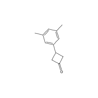 Cc1cc(C)cc(C2CC(=O)C2)c1